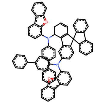 C1=CC2=C(c3cc(N(c4ccc(-c5ccccc5)cc4)c4cccc5c4oc4ccccc45)ccc3C23c2ccccc2-c2ccccc23)C(N(c2ccc(-c3ccccc3)cc2)c2cccc3c2oc2ccccc23)C1